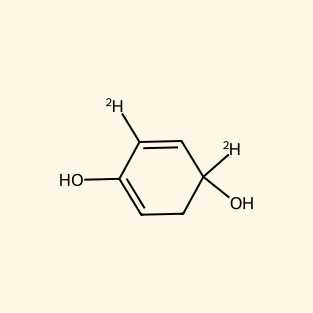 [2H]C1=CC([2H])(O)CC=C1O